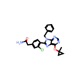 CC1(Oc2ncnc3c2nc(-c2ccc(CC(N)=O)cc2Cl)n3Cc2ccccc2)CC1